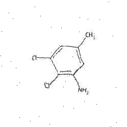 Cc1cc(N)c(Cl)c(Cl)c1